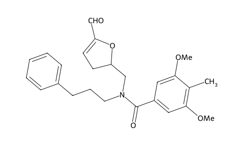 COc1cc(C(=O)N(CCCc2ccccc2)CC2CC=C(C=O)O2)cc(OC)c1C